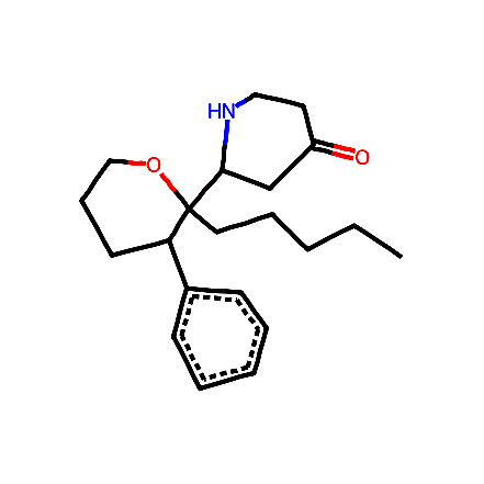 CCCCCC1(C2CC(=O)CCN2)OCCCC1c1ccccc1